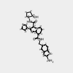 Nc1nc2ccc(CNC(=O)c3cccn4c(C(=O)N[C@H]5CCC[C@@H]5O)c(-c5ccsc5)nc34)cc2s1